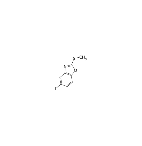 CSc1nc2cc(I)ccc2o1